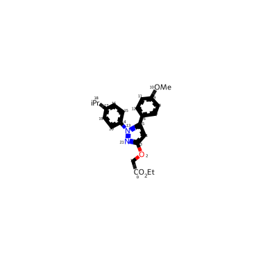 CCOC(=O)COc1cc(-c2ccc(OC)cc2)n(-c2ccc(C(C)C)cc2)n1